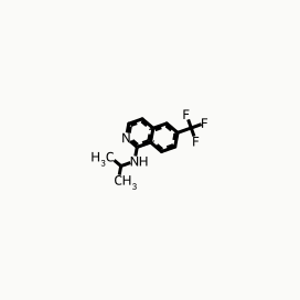 CC(C)Nc1nccc2cc(C(F)(F)F)ccc12